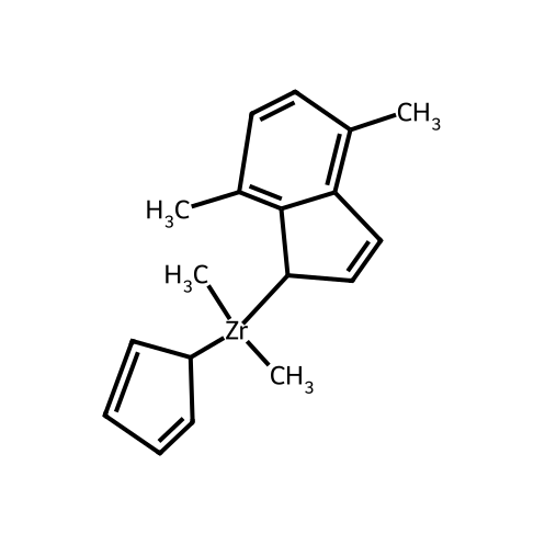 Cc1ccc(C)c2c1C=C[CH]2[Zr]([CH3])([CH3])[CH]1C=CC=C1